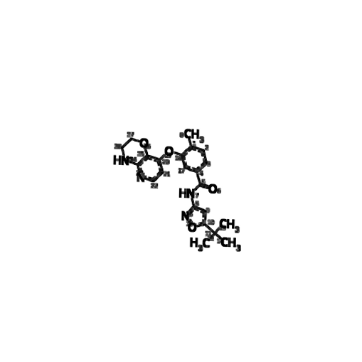 Cc1ccc(C(=O)Nc2cc(C(C)(C)C)on2)cc1Oc1ccnc2c1OCCN2